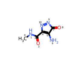 CNC(=O)C1=C(N)C(=O)N=N1